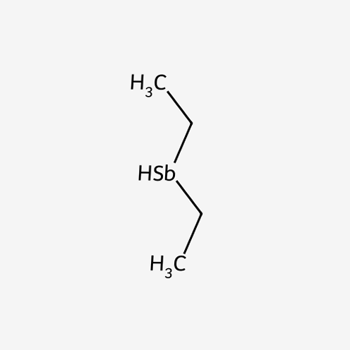 C[CH2][SbH][CH2]C